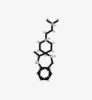 CC1Oc2ccccc2COC12CCN(CCN(C)C)CC2